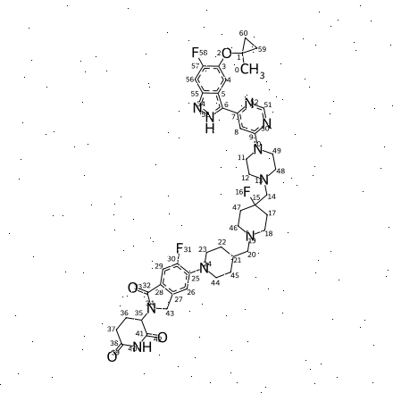 CC1(Oc2cc3c(-c4cc(N5CCN(CC6(F)CCN(CC7CCN(c8cc9c(cc8F)C(=O)N(C8CCC(=O)NC8=O)C9)CC7)CC6)CC5)ncn4)[nH]nc3cc2F)CC1